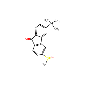 CS(=O)c1ccc2c(c1)-c1c[c]([Sn]([CH3])([CH3])[CH3])ccc1C2=O